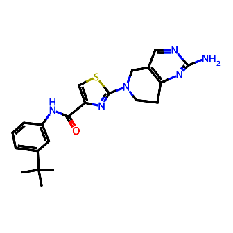 CC(C)(C)c1cccc(NC(=O)c2csc(N3CCc4nc(N)ncc4C3)n2)c1